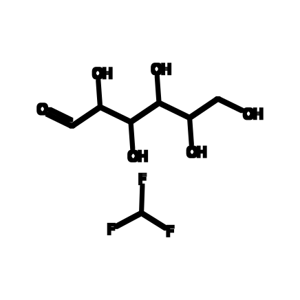 FC(F)F.O=CC(O)C(O)C(O)C(O)CO